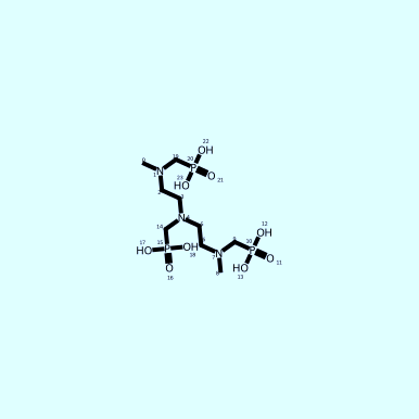 CN(CCN(CCN(C)CP(=O)(O)O)CP(=O)(O)O)CP(=O)(O)O